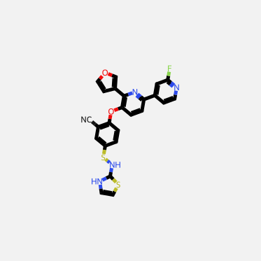 N#Cc1cc(SNC2NC=CS2)ccc1Oc1ccc(-c2ccnc(F)c2)nc1-c1ccoc1